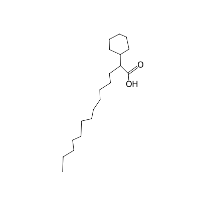 CCCCCCCCCCCCC(C(=O)O)C1CCCCC1